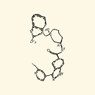 Cc1cc(-c2n[nH]c3ccc(C(=O)N[C@@H]4CCC[C@@](O)(Cn5c(C(F)(F)F)nc6ccccc65)C4)cc23)ccn1